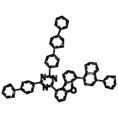 c1ccc(-c2ccc(-c3ccc(-c4nc(-c5ccc(-c6ccccc6)cc5)nc(-c5cccc6oc7c(-c8ccc(-c9ccccc9)c9ccccc89)cccc7c56)n4)cc3)cc2)cc1